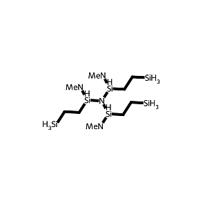 CN[SiH](CC[SiH3])N([SiH](CC[SiH3])NC)[SiH](CC[SiH3])NC